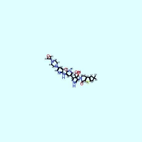 Cn1cc(C2=CNC=C(N3CCc4c(sc5c4CC(C)(C)C5)C3=O)C2(C=O)CO)cc(Nc2ccc(N3CCN(C4COC4)CC3)cn2)c1=O